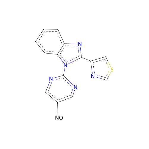 O=Nc1cnc(-n2c(-c3cscn3)nc3ccccc32)nc1